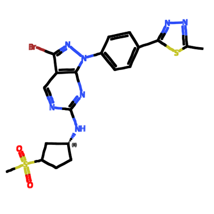 Cc1nnc(-c2ccc(-n3nc(Br)c4cnc(N[C@@H]5CCC(S(C)(=O)=O)C5)nc43)cc2)s1